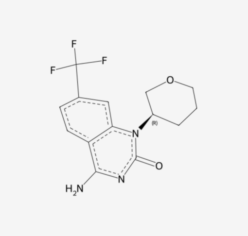 Nc1nc(=O)n([C@@H]2CCCOC2)c2cc(C(F)(F)F)ccc12